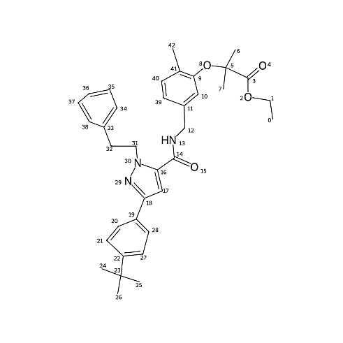 CCOC(=O)C(C)(C)Oc1cc(CNC(=O)c2cc(-c3ccc(C(C)(C)C)cc3)nn2CCc2ccccc2)ccc1C